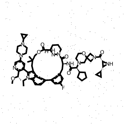 CCn1c(-c2cc(N3CCN(C4CC4)CC3)cnc2[C@H](C)OC)c2c3cc(ccc31)-c1cc(F)cc(c1)C[C@H](NC(=O)[C@H](C1CCCC1)N1CCOC3(CN(C(=O)[C@@H]4N[C@@H]4C4CC4)C3)C1)C(=O)N1CCC[C@H](N1)C(=O)OCC(C)(C)C2